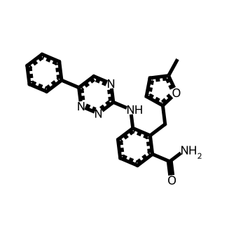 Cc1ccc(Cc2c(Nc3ncc(-c4ccccc4)nn3)cccc2C(N)=O)o1